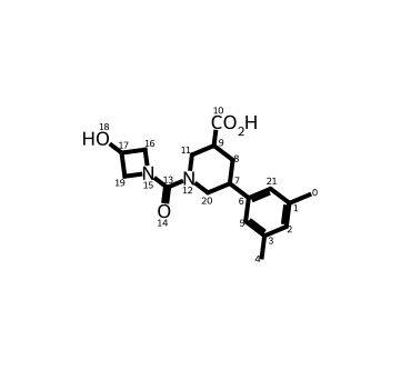 Cc1cc(C)cc(C2CC(C(=O)O)CN(C(=O)N3CC(O)C3)C2)c1